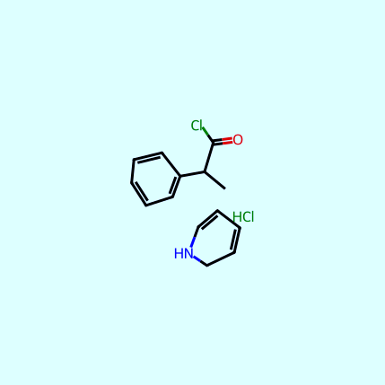 C1=CCNC=C1.CC(C(=O)Cl)c1ccccc1.Cl